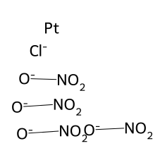 O=[N+]([O-])[O-].O=[N+]([O-])[O-].O=[N+]([O-])[O-].O=[N+]([O-])[O-].[Cl-].[Pt]